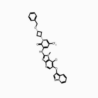 Cn1c(Nc2cc(C(F)(F)F)cn([C@H]3C[C@@H](OCc4ccccc4)C3)c2=O)nc2ncc(Oc3cnn4ccccc34)c(Cl)c21